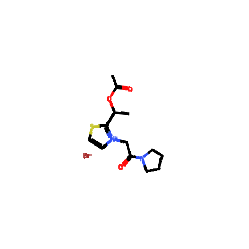 CC(=O)OC(C)c1scc[n+]1CC(=O)N1CCCC1.[Br-]